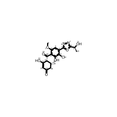 COc1cc(-c2nnc([C@H](C)O)o2)c(Cl)c(O)c1C(=O)[C@H]1C(O)=CC(=O)C[C@H]1C